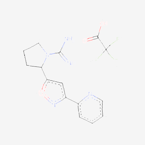 N=C(N)N1CCCC1c1cc(-c2ccccn2)no1.O=C(O)C(F)(F)F